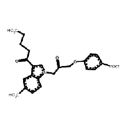 CCCCCCCCc1ccc(OCC(=O)Cn2cc(C(=O)CCCC(=O)O)c3cc(C(=O)O)ccc32)cc1